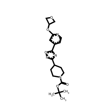 CC(C)(C)OC(=O)N1CCC(c2noc(-c3ccnc(OC4COC4)c3)n2)CC1